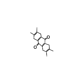 CC1=C(C)CC2=C(C1)C(=O)C1=C(CC(C)=C(C)C1)C2=O